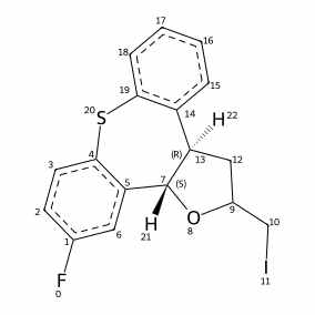 Fc1ccc2c(c1)[C@H]1OC(CI)C[C@@H]1c1ccccc1S2